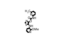 COc1ncccc1Nc1scnc1OC(=O)Nc1cccc(C)n1